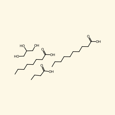 CCCC(=O)O.CCCCCCCC(=O)O.CCCCCCCCCC(=O)O.OCC(O)CO